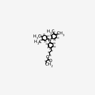 C=CC(=O)OCCCc1ccc(N(C2=CCC(C)C(C)=C2)c2ccc(C)c(C)c2)cc1